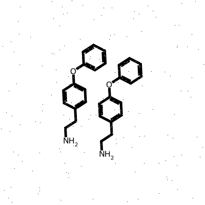 NCCc1ccc(Oc2ccccc2)cc1.NCCc1ccc(Oc2ccccc2)cc1